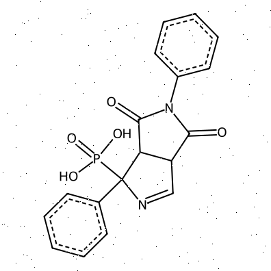 O=C1C2C=NC(c3ccccc3)(P(=O)(O)O)C2C(=O)N1c1ccccc1